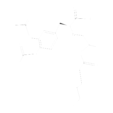 CCCCCC(=O)OC(C)CN[C@@H](Cc1ccc(OC(C)=O)c(OC(C)=O)c1)C(=O)O